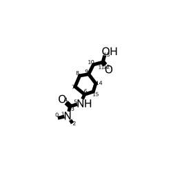 CN(C)C(=O)NC1CCC(CC(=O)O)CC1